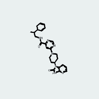 CC(CNC(=O)c1cc(N2CCC(n3c(=O)[nH]c4ncccc43)CC2)ncn1)C1C=CC=CC1